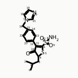 CC(C)CC1SC(S(N)(=O)=O)=C(c2ccc(Cn3ccnc3)cc2)C1=O